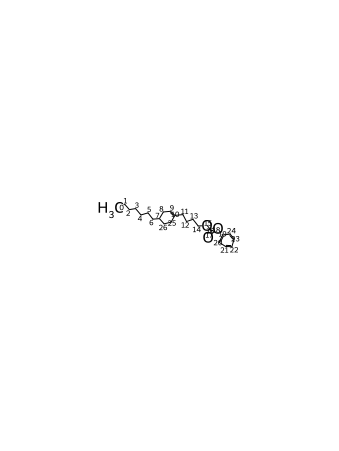 CCCCCCCC1CC=C(CCCCOC(=O)Oc2ccccc2)CC1